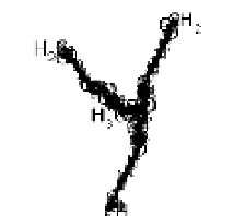 C=CC(=O)OCCCCCCCCCCCCOc1ccc(C(=O)Oc2ccc(OC(=O)c3ccc(OCCCCCCCCCCCCOC(=O)C=C)cc3)c(C(=O)OC(C)Oc3ccc(OC(=O)c4ccc(OCCCCCCOC(=O)C=C)cc4)cc3)c2)cc1